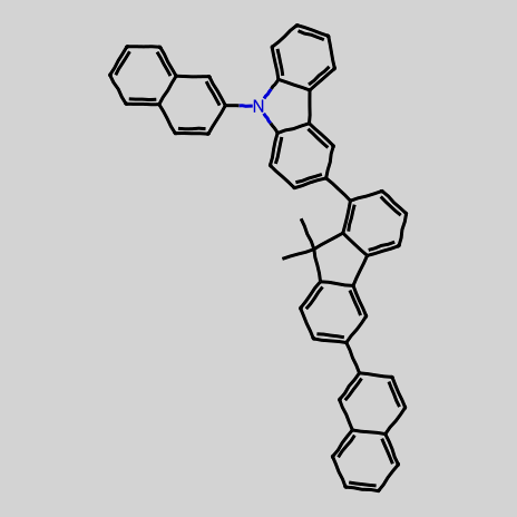 CC1(C)c2ccc(-c3ccc4ccccc4c3)cc2-c2cccc(-c3ccc4c(c3)c3ccccc3n4-c3ccc4ccccc4c3)c21